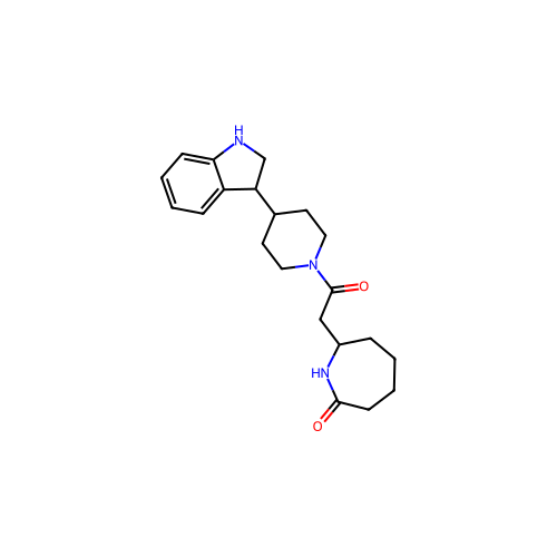 O=C1CCCCC(CC(=O)N2CCC(C3CNc4ccccc43)CC2)N1